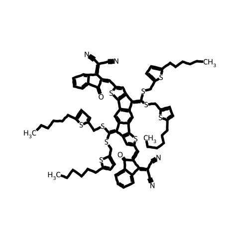 CCCCCCc1ccc(CSC(SCc2ccc(CCCCCC)s2)=C2c3cc4c(cc3-c3sc(/C=C5\C(=O)c6ccccc6C5=C(C#N)C#N)cc32)C(=C(SCc2ccc(CCCCCC)s2)SCc2ccc(CCCCCC)s2)c2cc(/C=C3\C(=O)c5ccccc5C3=C(C#N)C#N)sc2-4)s1